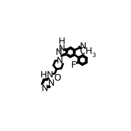 Cc1cccc(F)c1-c1cc2c(N3CCC(C(=O)Nc4ccncn4)CC3)n[nH]c2cc1C#N